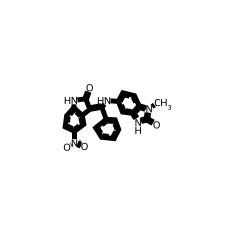 Cn1c(=O)[nH]c2cc(NC(=C3C(=O)Nc4ccc([N+](=O)[O-])cc43)c3ccccc3)ccc21